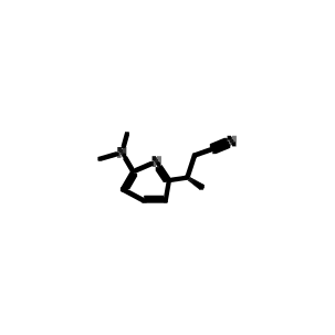 C[C@H](CC#N)c1cccc(N(C)C)n1